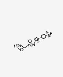 O=C(Cc1ccc(-c2ccc(C(F)(F)F)cc2)s1)NCCC1CNCCO1